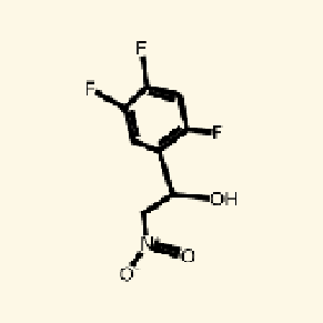 O=[N+]([O-])CC(O)c1cc(F)c(F)cc1F